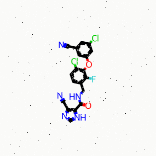 N#Cc1cc(Cl)cc(Oc2c(Cl)ccc(CNC(=O)c3[nH]cnc3C#N)c2F)c1